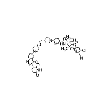 CC1(C)[C@H](NC(=O)c2ccc(N3CCC(CN4CC5(CCN(c6ccc7nnn(C8CCC(=O)NC8=O)c(=O)c7c6)CC5)C4)CC3)nc2)C(C)(C)[C@H]1Oc1ccc(C#N)c(Cl)c1